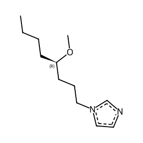 CCCC[C@H](CCCn1ccnc1)OC